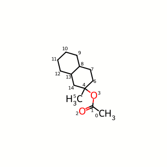 CC(=O)OC1(C)CCC2CCCCC2C1